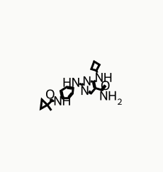 CC1(C(=O)Nc2ccc(Nc3ncc(C(N)=O)c(NC4CCC4)n3)cc2)CC1